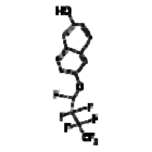 Oc1ccc2cc(OC(F)C(F)(F)C(F)(F)C(F)(F)F)ccc2c1